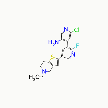 CCN1CCc2sc(-c3cnc(F)c(-c4cc(Cl)ncc4N)c3)cc2C1